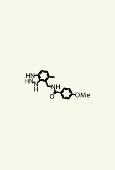 COc1ccc(C(=O)NCc2c(C)ccc3c2NNN3)cc1